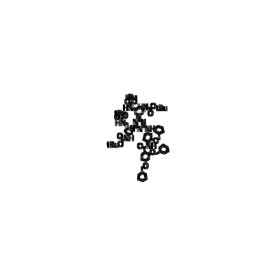 CC(C)(C)OC(=O)NC[C@@H]1C[C@H](NC(=O)OC(C)(C)C)CN1c1nc(Nc2ccc(NC(=O)c3ccc(OCc4ccccc4)cc3OCc3ccccc3)c(OCc3ccccc3)c2)nc(N2C[C@H](NC(=O)OC(C)(C)C)C[C@H](NC(=O)OC(C)(C)C)C2)n1